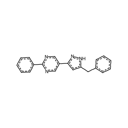 c1ccc(Cc2cc(-c3cnc(-c4ccccc4)nc3)n[nH]2)cc1